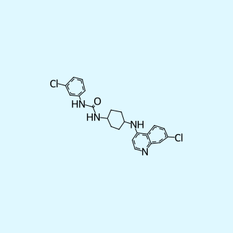 O=C(Nc1cccc(Cl)c1)NC1CCC(Nc2ccnc3cc(Cl)ccc23)CC1